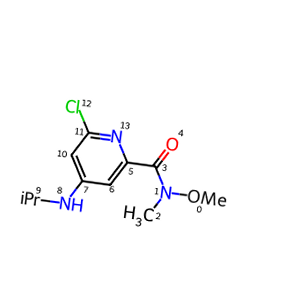 CON(C)C(=O)c1cc(NC(C)C)cc(Cl)n1